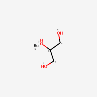 OCC(O)CO.[Ru]